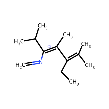 C=N/C(=C(/C)C(CC)=C(C)C)C(C)C